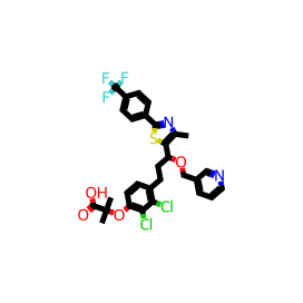 Cc1nc(-c2ccc(C(F)(F)F)cc2)sc1C(CCc1ccc(OC(C)(C)C(=O)O)c(Cl)c1Cl)OCc1cccnc1